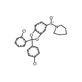 [O-][S+](c1ccc2c(c1)OC(c1ccc(Cl)cc1)(c1ccccc1Cl)O2)N1CCCCC1